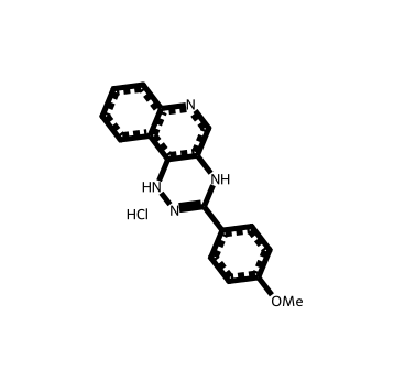 COc1ccc(C2=NNc3c(cnc4ccccc34)N2)cc1.Cl